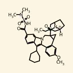 CCN1CC2CC[C@H](C1)N2C(=O)C12CC1c1cc(OC)ccc1-c1c(C3CCCCC3)c3ccc(C(=O)NS(=O)(=O)N(C)C)cc3n1C2